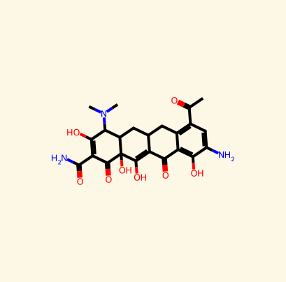 CC(=O)c1cc(N)c(O)c2c1CC1CC3C(N(C)C)C(O)=C(C(N)=O)C(=O)C3(O)C(O)=C1C2=O